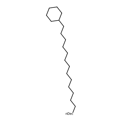 [CH2]CCCCCCCCCCCCCCCCCCCCCCC1CCCCC1